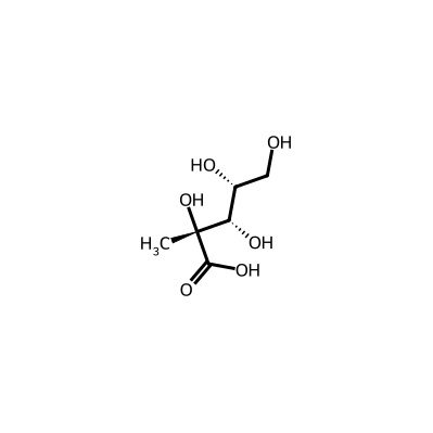 C[C@](O)(C(=O)O)[C@@H](O)[C@H](O)CO